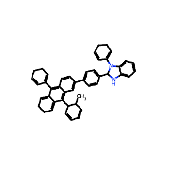 CC1C=CC=CC1c1c2c(c(C3=CCCC=C3)c3ccc(-c4ccc(C5Nc6ccccc6N5C5=CCCC=C5)cc4)cc13)=CCCC=2